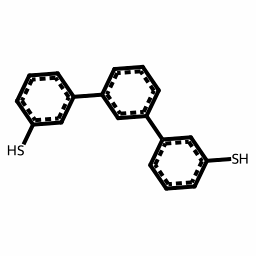 Sc1cccc(-c2cccc(-c3cccc(S)c3)c2)c1